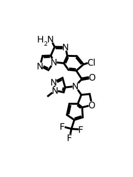 Cn1cc(N(C(=O)c2cc3c(cc2Cl)nc(N)c2cncn23)C2COc3cc(C(F)(F)F)ccc32)cn1